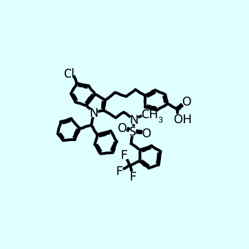 CN(CCc1c(CCCc2ccc(C(=O)O)cc2)c2cc(Cl)ccc2n1C(c1ccccc1)c1ccccc1)S(=O)(=O)Cc1ccccc1C(F)(F)F